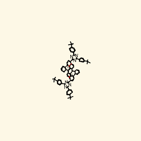 CC(C)(C)c1ccc(-c2nc(-c3ccc(C(C)(C)C)cc3)nc(-c3ccc(-c4ccccc4-c4c5ccccc5c(-c5ccccc5-c5ccc(-c6nc(-c7ccc(C(C)(C)C)cc7)nc(-c7ccc(C(C)(C)C)cc7)n6)cn5)c5ccccc45)nc3)n2)cc1